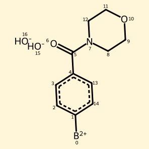 [B+2]c1ccc(C(=O)N2CCOCC2)cc1.[OH-].[OH-]